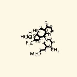 COCCC1CN(C2=c3nccc(F)c3=CNc3sc(C(F)(F)F)cc32)CCN1C.Cl.Cl